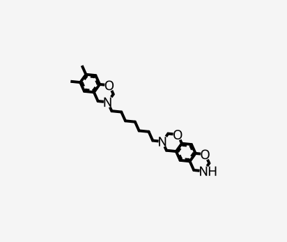 Cc1cc2c(cc1C)OCN(CCCCCCCN1COc3cc4c(cc3C1)CNCO4)C2